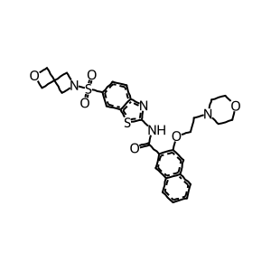 O=C(Nc1nc2ccc(S(=O)(=O)N3CC4(COC4)C3)cc2s1)c1cc2ccccc2cc1OCCN1CCOCC1